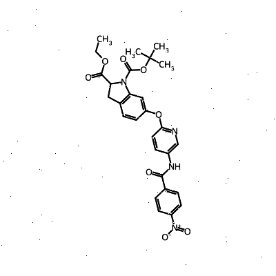 CCOC(=O)C1Cc2ccc(Oc3ccc(NC(=O)c4ccc([N+](=O)[O-])cc4)cn3)cc2N1C(=O)OC(C)(C)C